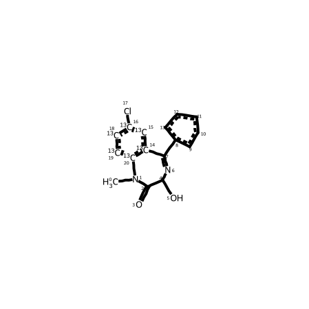 CN1C(=O)C(O)N=C(c2ccccc2)[13c]2[13cH][13c](Cl)[13cH][13cH][13c]21